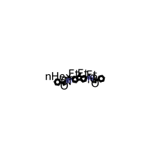 CCCCCC/C(=N\OC(=O)C1CCCCC1)c1ccc2c(c1)C(CC)(CC)c1cc(/C(CC)=N/OC(=O)C3CCCCC3)ccc1-2